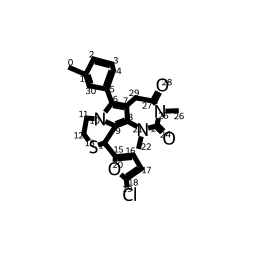 Cc1cccc(-c2c3c(c4n2CCSC4c2ccc(Cl)o2)N(C)C(=O)N(C)C(=O)C3)c1